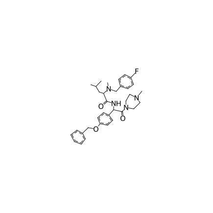 CC(C)CC(C(=O)NC(C(=O)N1CCN(C)CC1)c1ccc(OCc2ccccc2)cc1)N(C)Cc1ccc(F)cc1